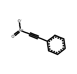 O=[N+]([O-])C#Cc1ccccc1